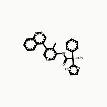 Cc1c(NC(=O)[C@@](O)(c2ccccc2)c2ncc[nH]2)cncc1-c1cnnc2ccccc12